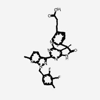 Cc1ccc2c(-c3nc(N)c4c(n3)NC(=O)[C@@]4(C)c3ccc(CCC(=O)O)cc3)nn(Cc3ccc(C)c(F)c3F)c2n1